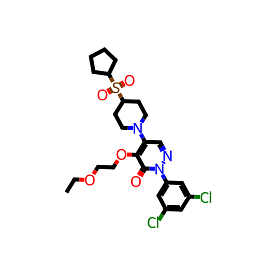 CCOCCOc1c(N2CCC(S(=O)(=O)C3CCCC3)CC2)cnn(-c2cc(Cl)cc(Cl)c2)c1=O